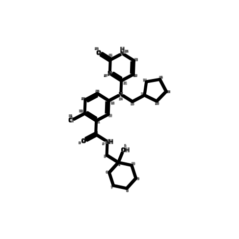 O=C(NCC1(O)CCCCC1)c1cc(N(CC2CCCC2)c2cc[nH]c(=O)n2)ccc1Cl